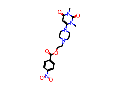 Cn1c(N2CCN(CCOC(=O)c3ccc([N+](=O)[O-])cc3)CC2)cc(=O)n(C)c1=O